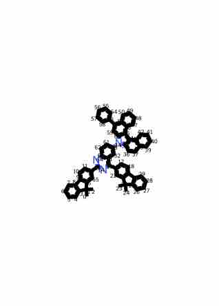 CC1(C)c2ccccc2-c2ccc(-c3nc(-c4ccc5c(c4)C(C)(C)c4ccccc4-5)c4cc(-n5c6ccc7ccccc7c6c6c7ccccc7c(-c7ccccc7)cc65)ccc4n3)cc21